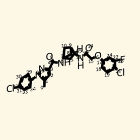 Cc1cc(C(=O)NC23CC(C2)[C@H](NC(=O)COc2ccc(Cl)c(F)c2)C3)nn1-c1ccc(Cl)cc1